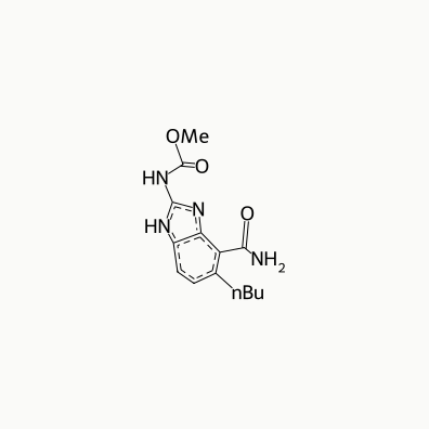 CCCCc1ccc2[nH]c(NC(=O)OC)nc2c1C(N)=O